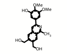 COc1cc(-c2cc3cc(CO)c(CO)cc3c(C)n2)cc(O)c1OC